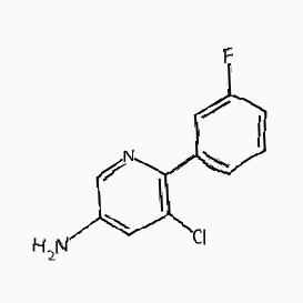 Nc1cnc(-c2cccc(F)c2)c(Cl)c1